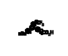 CCCCc1ccc(N(CCc2ccc(OC(C)(C)C(=O)O)cc2)Cc2ccc(OC(F)(F)F)cc2)nc1